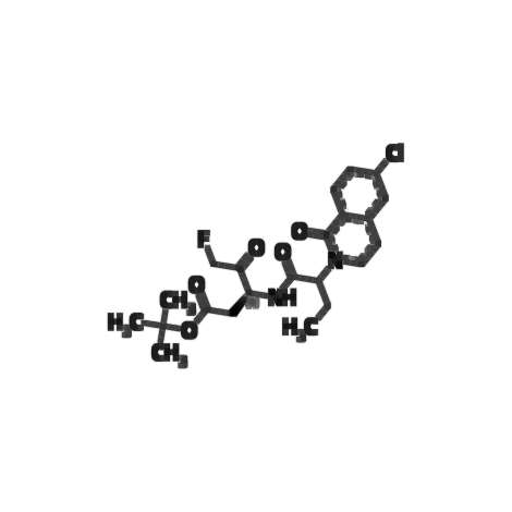 CCC(C(=O)N[C@@H](CC(=O)OC(C)(C)C)C(=O)CF)n1ccc2cc(Cl)ccc2c1=O